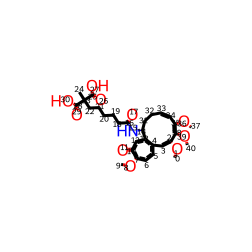 COC1=Cc2ccc(OC)c(=O)cc2[C@@H](NC(=O)CCCCCC(C)(C(=O)O)C(=O)O)CCC=CC(OC)=C1OC